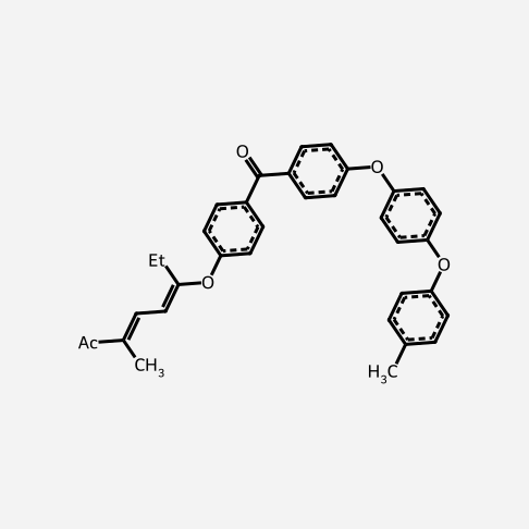 CC/C(=C\C=C(/C)C(C)=O)Oc1ccc(C(=O)c2ccc(Oc3ccc(Oc4ccc(C)cc4)cc3)cc2)cc1